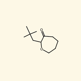 CC(C)(C)CC1OCCCCC1=O